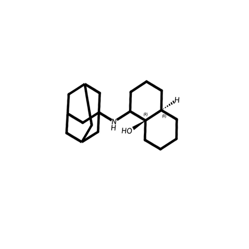 O[C@]12CCCC[C@@H]1CCCC2NC12CC3CC(CC(C3)C1)C2